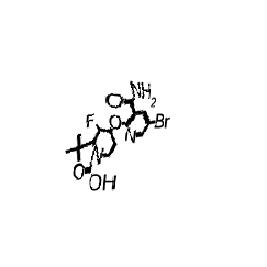 CC(C)(C)C1C(F)C(Oc2ncc(Br)cc2C(N)=O)CCN1C(=O)O